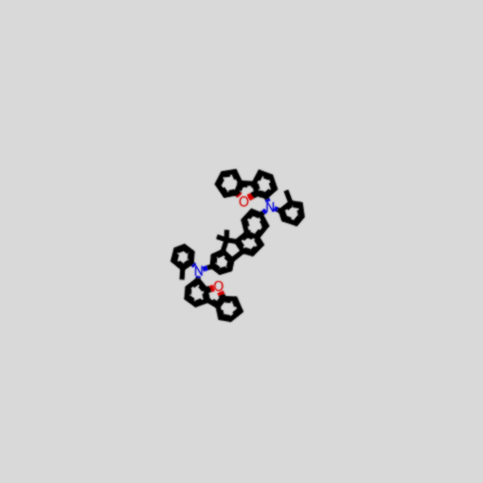 Cc1ccccc1N(c1ccc2c(c1)C(C)(C)c1c-2ccc2cc(N(c3ccccc3C)c3cccc4c3oc3ccccc34)ccc12)c1cccc2c1oc1ccccc12